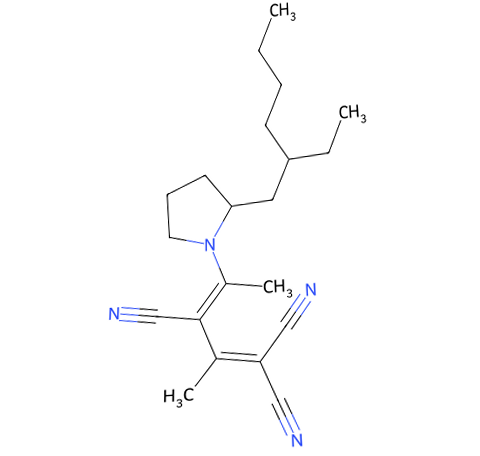 CCCCC(CC)CC1CCCN1/C(C)=C(\C#N)C(C)=C(C#N)C#N